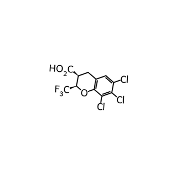 O=C(O)[C@H]1Cc2cc(Cl)c(Cl)c(Cl)c2O[C@H]1C(F)(F)F